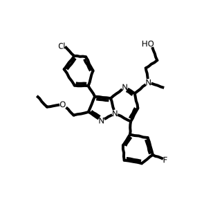 CCOCc1nn2c(-c3cccc(F)c3)cc(N(C)CCO)nc2c1-c1ccc(Cl)cc1